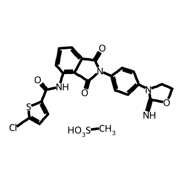 CS(=O)(=O)O.N=C1OCCN1c1ccc(N2C(=O)c3cccc(NC(=O)c4ccc(Cl)s4)c3C2=O)cc1